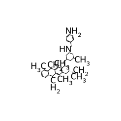 C=C(C)[C@@H]1Cc2c(c(C)c3c(=C)c4c(C)cccc4c(=C)c3c2C)[C@@H](CC2CC(C)CC(NCc3ccc(N)cc3)C2)C1